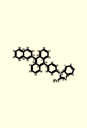 CC(C)c1nc2ccccc2n1-c1ccc(-c2c3ccccc3c(-c3ccc4ccccc4c3)c3ccccc23)cc1